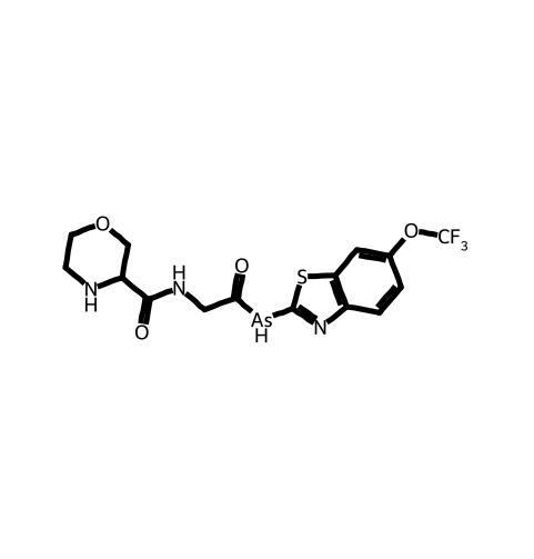 O=C(CNC(=O)C1COCCN1)[AsH]c1nc2ccc(OC(F)(F)F)cc2s1